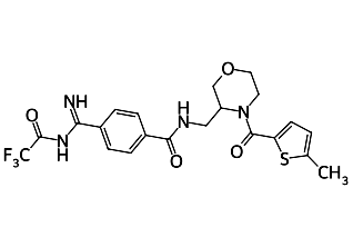 Cc1ccc(C(=O)N2CCOCC2CNC(=O)c2ccc(C(=N)NC(=O)C(F)(F)F)cc2)s1